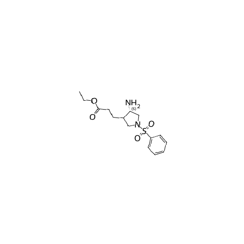 CCOC(=O)CCC1CN(S(=O)(=O)c2ccccc2)C[C@H]1N